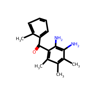 Cc1ccccc1C(=O)c1c(C)c(C)c(C)c(N)c1N